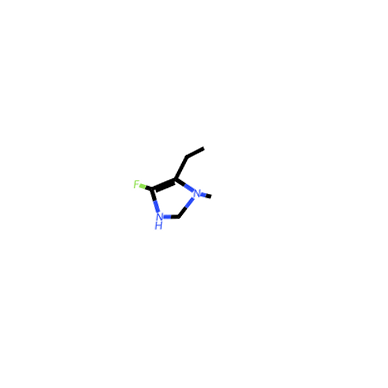 CCC1=C(F)NCN1C